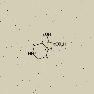 C1CNCCN1.O=C(O)CO